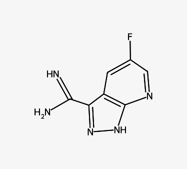 N=C(N)c1n[nH]c2ncc(F)cc12